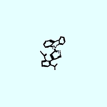 CC(C)c1cccc(C(C)C)c1-c1ccnc(-n2c3ccccc3c3ccccc32)c1